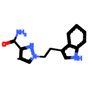 NC(=O)c1[c]cn(CCc2c[nH]c3ccccc23)n1